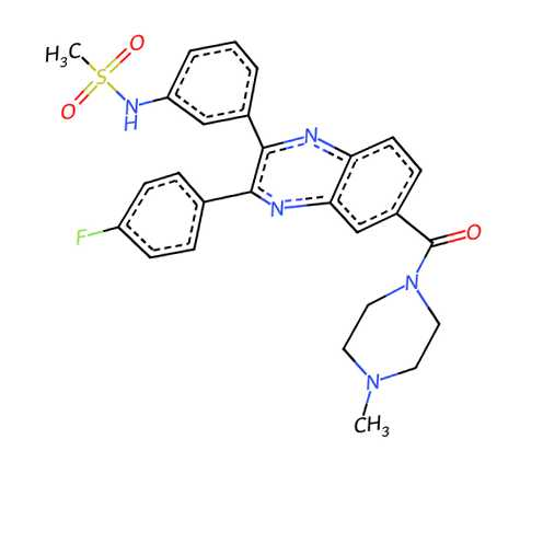 CN1CCN(C(=O)c2ccc3nc(-c4cccc(NS(C)(=O)=O)c4)c(-c4ccc(F)cc4)nc3c2)CC1